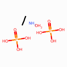 CC.N.O.O=P(O)(O)O.O=P(O)(O)O